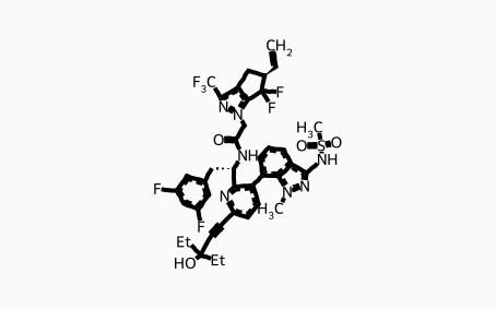 C=C[C@@H]1Cc2c(C(F)(F)F)nn(CC(=O)N[C@@H](Cc3cc(F)cc(F)c3)c3nc(C#CC(O)(CC)CC)ccc3-c3cccc4c(NS(C)(=O)=O)nn(C)c34)c2C1(F)F